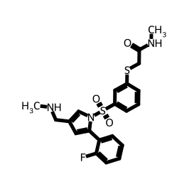 CNCc1cc(-c2ccccc2F)n(S(=O)(=O)c2cccc(SCC(=O)NC)c2)c1